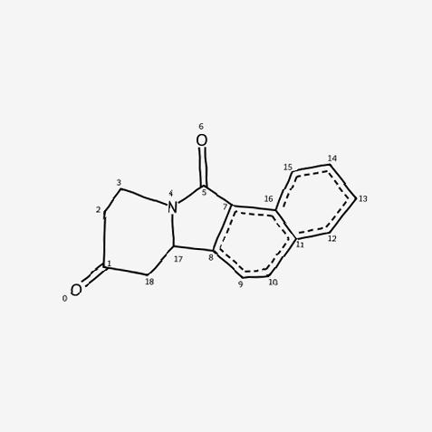 O=C1CCN2C(=O)c3c(ccc4ccccc34)C2C1